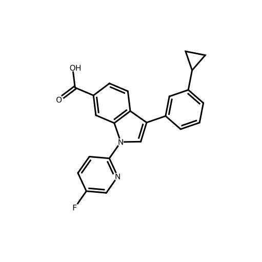 O=C(O)c1ccc2c(-c3cccc(C4CC4)c3)cn(-c3ccc(F)cn3)c2c1